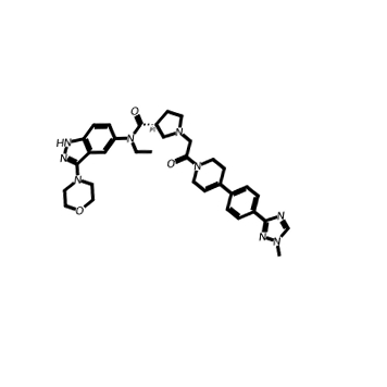 CCN(C(=O)[C@@H]1CCN(CC(=O)N2CC=C(c3ccc(-c4ncn(C)n4)cc3)CC2)C1)c1ccc2[nH]nc(N3CCOCC3)c2c1